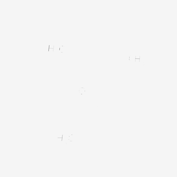 CCc1cc(C)c(CC)o1